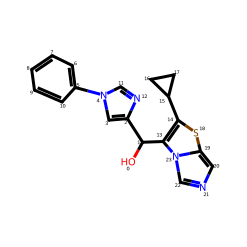 OC(c1cn(-c2ccccc2)cn1)c1c(C2CC2)sc2cncn12